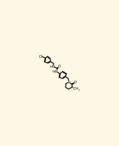 C[C@@H]1CCCN(Cc2ccc(NC(=O)NCc3ccc(Cl)cc3)cc2)C1=O